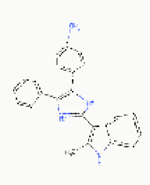 Cc1[nH]c2ccccc2c1-c1nc(-c2ccccc2)c(-c2ccc(N)cc2)[nH]1